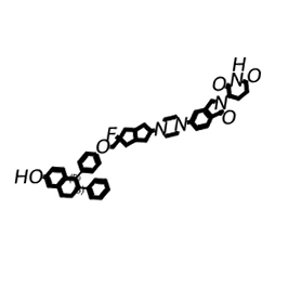 O=C1CCC(N2Cc3cc(N4CCN(C5CC6CC(F)(COc7ccc([C@@H]8c9ccc(O)cc9CC[C@@H]8c8ccccc8)cc7)CC6C5)CC4)ccc3C2=O)C(=O)N1